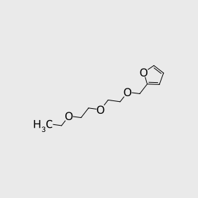 CCOCCOCCOCc1ccco1